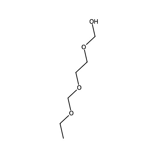 CCOCOCCOCO